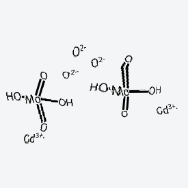 [Gd+3].[Gd+3].[O-2].[O-2].[O-2].[O]=[Mo](=[O])([OH])[OH].[O]=[Mo](=[O])([OH])[OH]